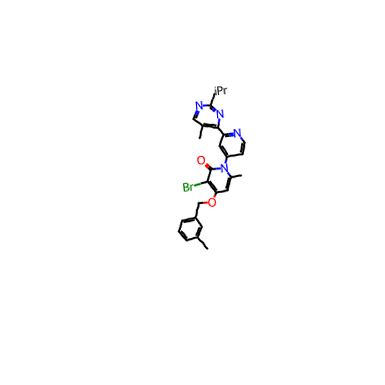 Cc1cccc(COc2cc(C)n(-c3ccnc(-c4nc(C(C)C)ncc4C)c3)c(=O)c2Br)c1